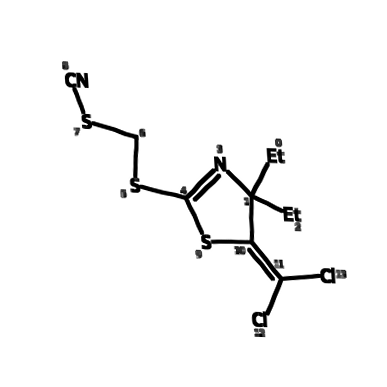 CCC1(CC)N=C(SCSC#N)SC1=C(Cl)Cl